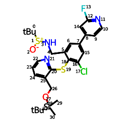 CC(C)(C)[S+]([O-])NCc1cc(-c2ccnc(F)c2)cc(Cl)c1Sc1ncccc1CO[Si](C)(C)C(C)(C)C